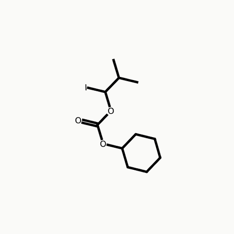 CC(C)C(I)OC(=O)OC1CCCCC1